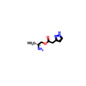 N[C@@H](COC(=O)Cc1cc[nH]n1)C(=O)O